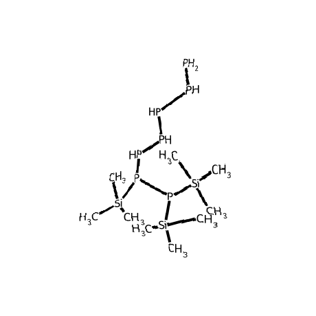 C[Si](C)(C)P(PPPPP)P([Si](C)(C)C)[Si](C)(C)C